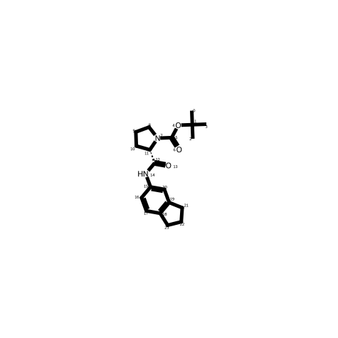 CC(C)(C)OC(=O)N1CCC[C@H]1C(=O)Nc1ccc2c(c1)CCC2